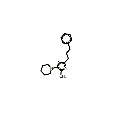 Cc1nc(CCCc2ccccc2)sc1N1CCCCC1